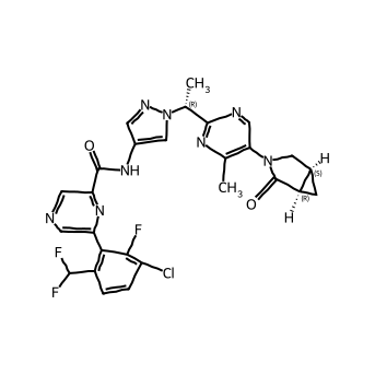 Cc1nc([C@@H](C)n2cc(NC(=O)c3cncc(-c4c(C(F)F)ccc(Cl)c4F)n3)cn2)ncc1N1C[C@H]2C[C@H]2C1=O